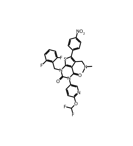 CN(C)Cc1c(-c2ccc([N+](=O)[O-])cc2)sc2c1c(=O)n(-c1ccc(OC(F)F)nc1)c(=O)n2Cc1c(F)cccc1F